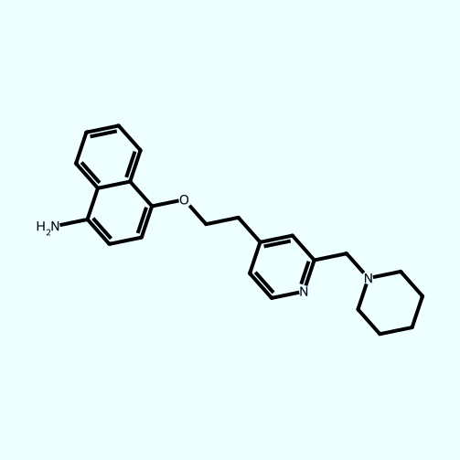 Nc1ccc(OCCc2ccnc(CN3CCCCC3)c2)c2ccccc12